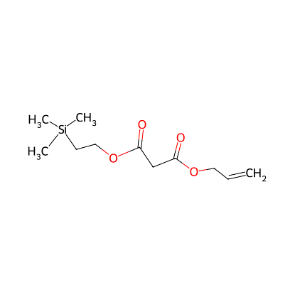 C=CCOC(=O)CC(=O)OCC[Si](C)(C)C